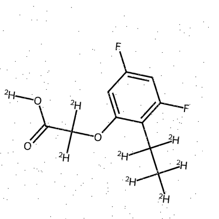 [2H]OC(=O)C([2H])([2H])Oc1cc(F)cc(F)c1C([2H])([2H])C([2H])([2H])[2H]